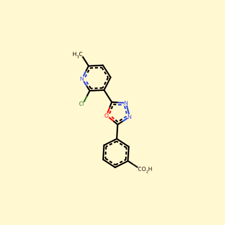 Cc1ccc(-c2nnc(-c3cccc(C(=O)O)c3)o2)c(Cl)n1